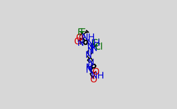 Cn1nc(C2CCC(=O)NC2=O)c2cccc(N3CCC(CN4CCN(c5nc(Cl)c(Cl)c(Nc6ccc7c(c6)c6c(c(=O)n7C)OCC(F)(F)C(C7CC7)N6)n5)CC4)CC3)c21